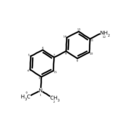 CN(C)c1[c]ccc(-c2ccc(N)cc2)c1